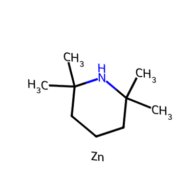 CC1(C)CCCC(C)(C)N1.[Zn]